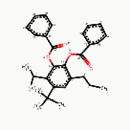 CCCc1cc(C(C)(C)C)c(C(C)C)c(OC(=O)c2ccccc2)c1OC(=O)c1ccccc1